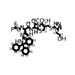 O=C(O)C1=C(CSc2nnnn2CCO)CS[C@@H]2C(NC(=O)/C(=N/OC(F)F)c3csc(NC(c4ccccc4)(c4ccccc4)c4ccccc4)n3)C(=O)N12